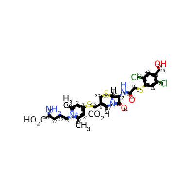 Cc1cc(SCC2=C(C(=O)O)N3C(=O)[C@H](NC(=O)CSc4cc(Cl)c(CO)cc4Cl)[C@H]3SC2)cc(C)[n+]1CCC[C@H](N)C(=O)O